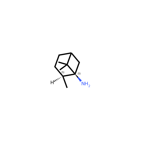 C[C@H]1CCC2C[C@@]1(N)C2(C)C